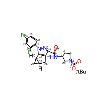 CC(C)(C)OC(=O)N1CC[C@H](NC(=O)c2nn(-c3ccc(F)cc3F)c3c2C[C@H]2C[C@@H]32)C1